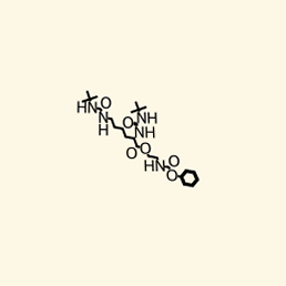 CC(C)(C)NC(=O)NCCCCC(NC(=O)NC(C)(C)C)C(=O)OCCNC(=O)Oc1ccccc1